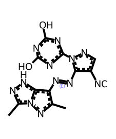 [C-]#[N+]c1cnn(-c2nc(O)nc(O)n2)c1/N=N/c1c(C)nn2c(C)n[nH]c12